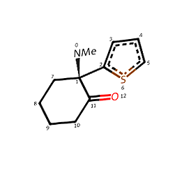 CN[C@]1(c2cccs2)CCCCC1=O